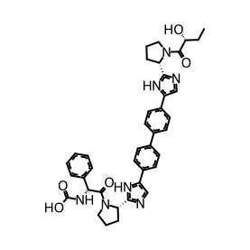 CC[C@@H](O)C(=O)N1CCC[C@H]1c1ncc(-c2ccc(-c3ccc(-c4cnc([C@@H]5CCCN5C(=O)[C@H](NC(=O)O)c5ccccc5)[nH]4)cc3)cc2)[nH]1